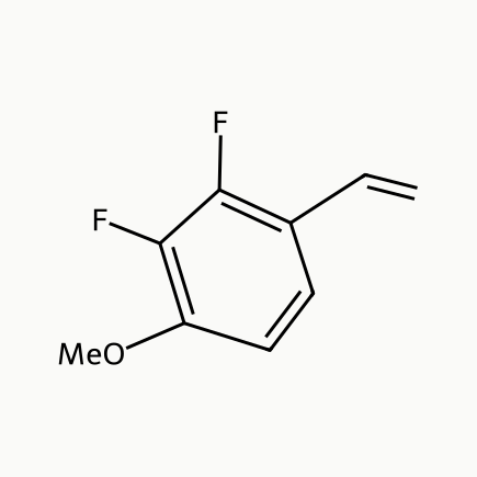 C=Cc1ccc(OC)c(F)c1F